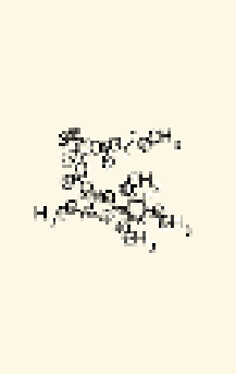 COCCOC(=O)OCC1(COC(=O)OCC2(COC)COC(c3c(OC)cc(OC)cc3OC)OC2)CSSC1